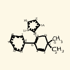 CC1(C)C=CC(c2ccccc2)=CC1.c1ccsc1